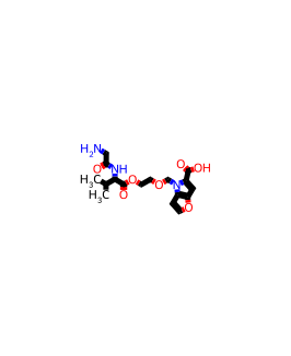 CC(C)C(NC(=O)CN)C(=O)OCCOCn1c(C(=O)O)cc2occc21